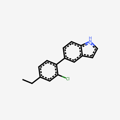 CCc1ccc(-c2ccc3[nH]ccc3c2)c(Cl)c1